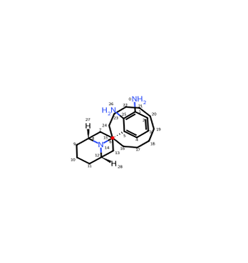 Nc1cccc([C@H]2C[C@H]3CCC[C@@H](C2)N3C2CCCCCCCCC2)c1N